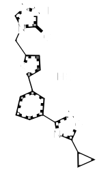 Cl.O=c1[nH]ncn1Cc1ccc(-c2cccc(-c3noc(C4CC4)n3)c2)s1